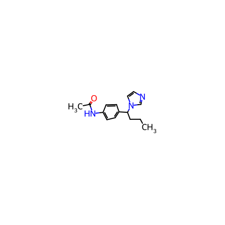 CCCC(c1ccc(NC(C)=O)cc1)n1ccnc1